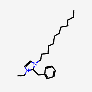 CCCCCCCCCCCCN1C=CN(CC)C1Cc1ccccc1